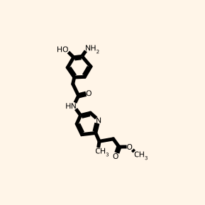 COC(=O)CC(C)c1ccc(NC(=O)Cc2ccc(N)c(O)c2)cn1